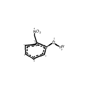 CCCOc1c[c]ccc1[N+](=O)[O-]